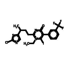 CCn1c(CCC(C)c2cnc(Cl)s2)nc(=O)c(-c2cccc(C(F)(F)F)c2)c1I